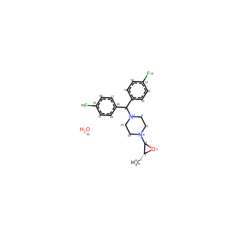 C[C@H]1OC1N1CCN(C(c2ccc(F)cc2)c2ccc(F)cc2)CC1.O